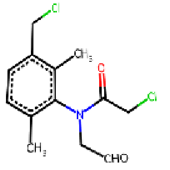 Cc1ccc(CCl)c(C)c1N(CC=O)C(=O)CCl